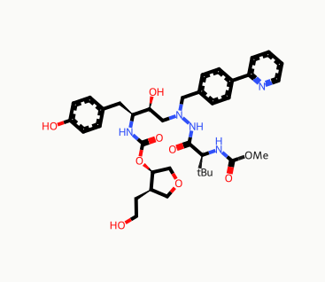 COC(=O)N[C@H](C(=O)NN(Cc1ccc(-c2ccccn2)cc1)C[C@H](O)[C@H](Cc1ccc(O)cc1)NC(=O)O[C@H]1COC[C@H]1CCO)C(C)(C)C